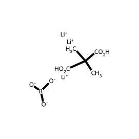 CC(C)(C(=O)O)C(=O)O.[Li+].[Li+].[Li+].[O-]B([O-])[O-]